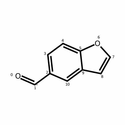 O=[C]c1ccc2occc2c1